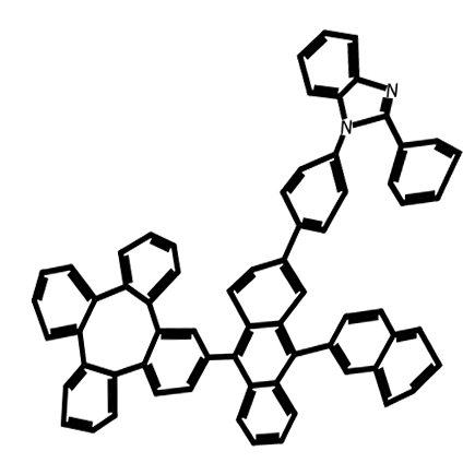 c1ccc(-c2nc3ccccc3n2-c2ccc(-c3ccc4c(-c5ccc6c(c5)-c5ccccc5-c5ccccc5-c5ccccc5-6)c5ccccc5c(-c5ccc6ccccc6c5)c4c3)cc2)cc1